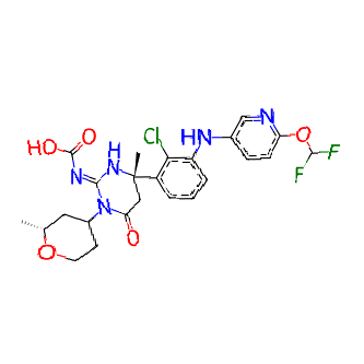 C[C@@H]1CC(N2C(=O)C[C@@](C)(c3cccc(Nc4ccc(OC(F)F)nc4)c3Cl)N/C2=N\C(=O)O)CCO1